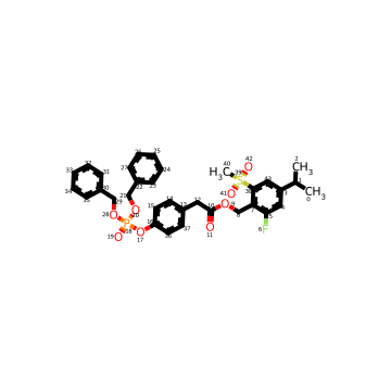 CC(C)c1cc(F)c(COC(=O)Cc2ccc(OP(=O)(OCc3ccccc3)OCc3ccccc3)cc2)c(S(C)(=O)=O)c1